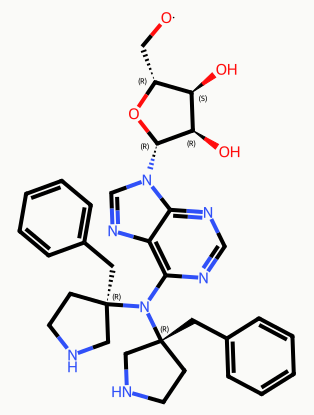 [O]C[C@H]1O[C@@H](n2cnc3c(N([C@]4(Cc5ccccc5)CCNC4)[C@]4(Cc5ccccc5)CCNC4)ncnc32)[C@H](O)[C@@H]1O